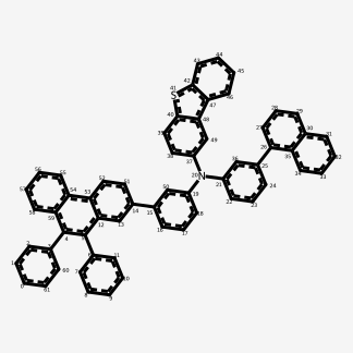 c1ccc(-c2c(-c3ccccc3)c3cc(-c4cccc(N(c5cccc(-c6cccc7ccccc67)c5)c5ccc6sc7ccccc7c6c5)c4)ccc3c3ccccc23)cc1